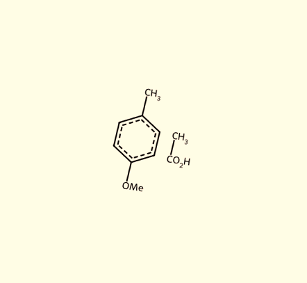 CC(=O)O.COc1ccc(C)cc1